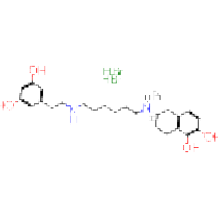 Br.Br.CCCN(CCCCCCNCCc1cc(O)cc(O)c1)[C@H]1CCc2c(ccc(O)c2O)C1